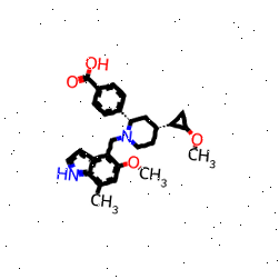 COc1cc(C)c2[nH]ccc2c1CN1CC[C@@H](C2CC2OC)C[C@H]1c1ccc(C(=O)O)cc1